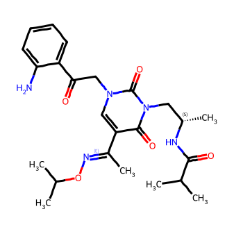 C/C(=N\OC(C)C)c1cn(CC(=O)c2ccccc2N)c(=O)n(C[C@H](C)NC(=O)C(C)C)c1=O